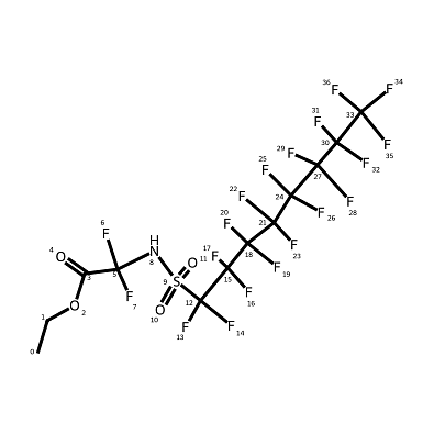 CCOC(=O)C(F)(F)NS(=O)(=O)C(F)(F)C(F)(F)C(F)(F)C(F)(F)C(F)(F)C(F)(F)C(F)(F)C(F)(F)F